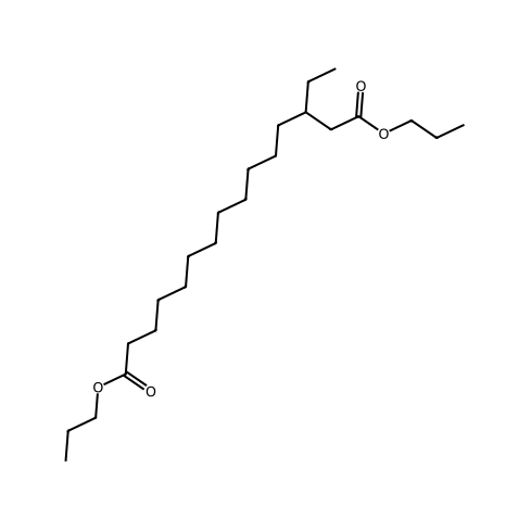 CCCOC(=O)CCCCCCCCCCCC(CC)CC(=O)OCCC